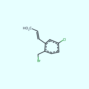 O=C(O)/C=C/c1cc(Cl)ccc1CBr